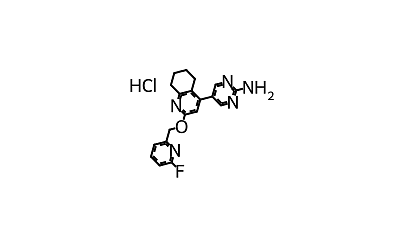 Cl.Nc1ncc(-c2cc(OCc3cccc(F)n3)nc3c2CCCC3)cn1